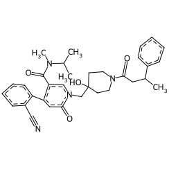 CC(CC(=O)N1CCC(O)(Cn2cc(C(=O)N(C)C(C)C)c(-c3ccccc3C#N)cc2=O)CC1)c1ccccc1